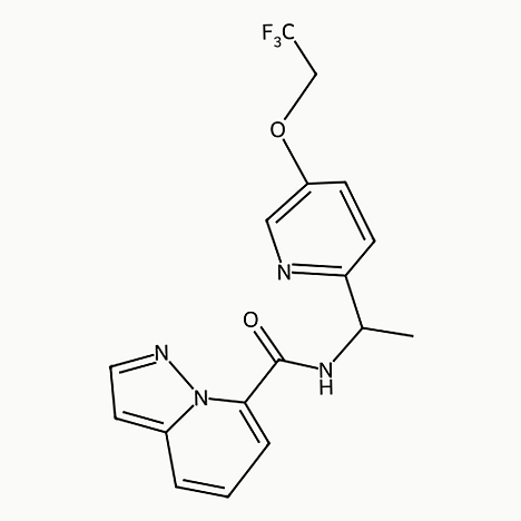 CC(NC(=O)c1cccc2ccnn12)c1ccc(OCC(F)(F)F)cn1